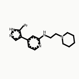 CC(C)c1[nH]ncc1-c1ccnc(NCCN2CCCCC2)c1